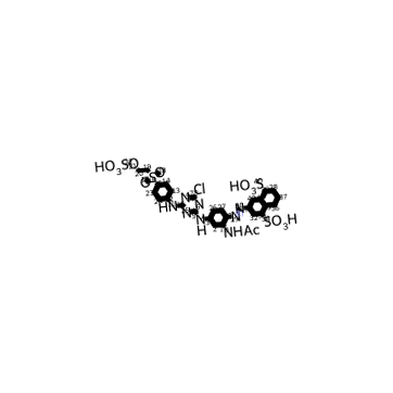 CC(=O)Nc1cc(Nc2nc(Cl)nc(Nc3ccc(S(=O)(=O)CCOS(=O)(=O)O)cc3)n2)ccc1/N=N/c1cc(S(=O)(=O)O)c2cccc(S(=O)(=O)O)c2c1